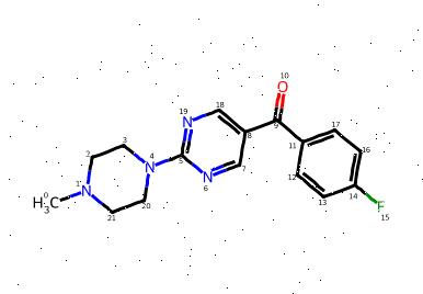 CN1CCN(c2ncc(C(=O)c3ccc(F)cc3)cn2)CC1